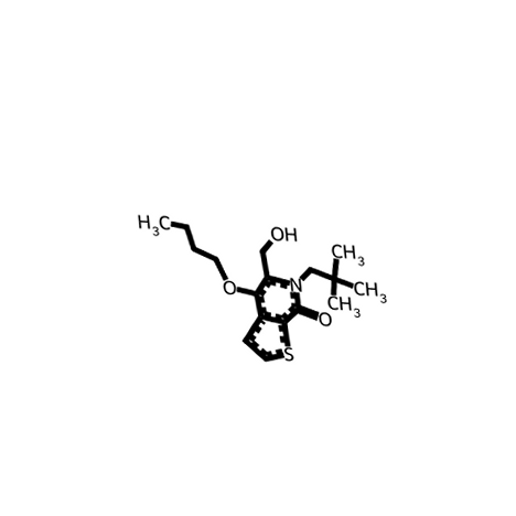 CCCCOc1c(CO)n(CC(C)(C)C)c(=O)c2sccc12